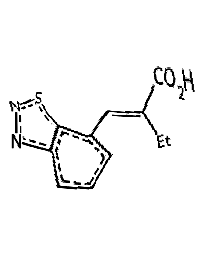 CC/C(=C\c1cccc2nnsc12)C(=O)O